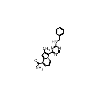 Cc1cc2c(C(N)=O)cccn2c1-c1ncnc(NCc2ccccc2)n1